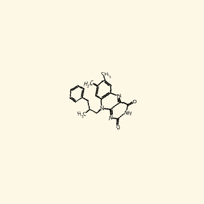 Cc1cc2nc3c(=O)[nH]c(=O)nc-3n(CC(C)Cc3ccccc3)c2cc1C